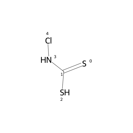 S=C(S)NCl